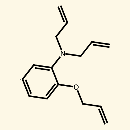 C=CCOc1cc[c]cc1N(CC=C)CC=C